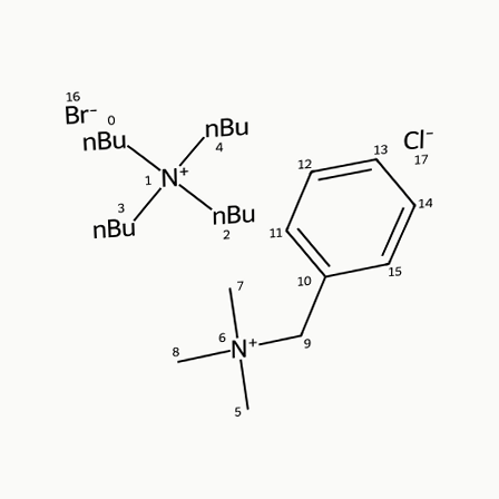 CCCC[N+](CCCC)(CCCC)CCCC.C[N+](C)(C)Cc1ccccc1.[Br-].[Cl-]